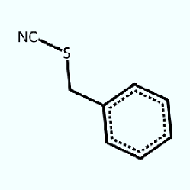 N#CSCc1ccccc1